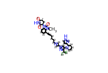 Cn1c(=O)n(C2CCC(=O)NC2=O)c2cccc(C#CCCCCN3CC(n4cc(N5CC=CC=C5c5cc[nH]n5)c(C(F)F)n4)C3)c21